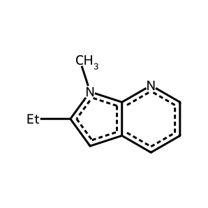 CCc1cc2cccnc2n1C